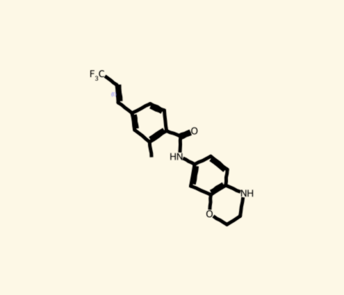 Cc1cc(/C=C/C(F)(F)F)ccc1C(=O)Nc1ccc2c(c1)OCCN2